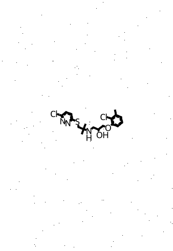 Cc1cccc(OCC(O)CNC(C)(C)CSc2ccc(Cl)nn2)c1Cl